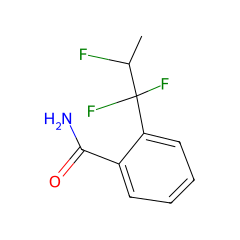 CC(F)C(F)(F)c1ccccc1C(N)=O